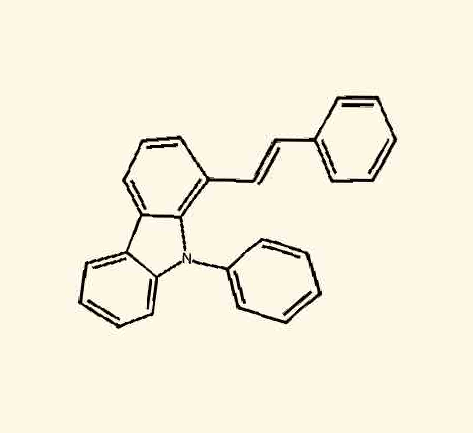 C(=Cc1cccc2c3ccccc3n(-c3ccccc3)c12)c1ccccc1